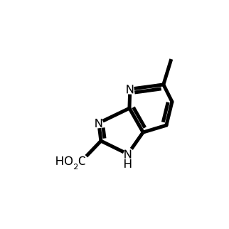 Cc1ccc2[nH]c(C(=O)O)nc2n1